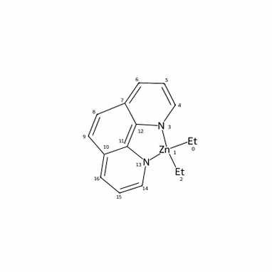 C[CH2][Zn]1([CH2]C)[N]2C=CC=c3ccc4c(c32)[N]1C=CC=4